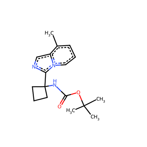 Cc1cccn2c(C3(NC(=O)OC(C)(C)C)CCC3)ncc12